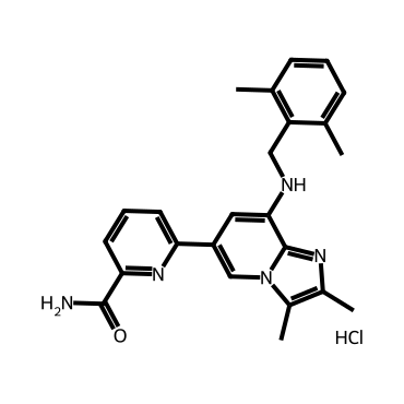 Cc1cccc(C)c1CNc1cc(-c2cccc(C(N)=O)n2)cn2c(C)c(C)nc12.Cl